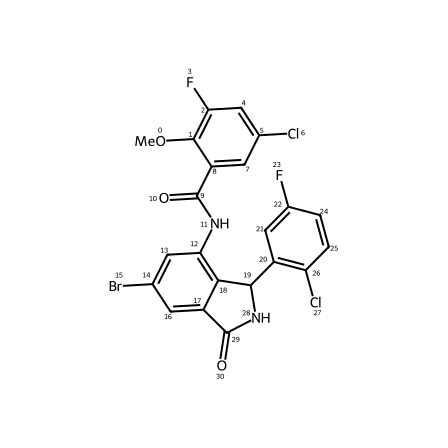 COc1c(F)cc(Cl)cc1C(=O)Nc1cc(Br)cc2c1C(c1cc(F)ccc1Cl)NC2=O